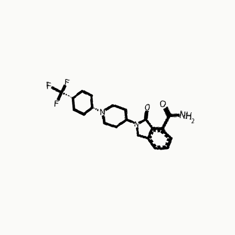 NC(=O)c1cccc2c1C(=O)N(C1CCN([C@H]3CC[C@@H](C(F)(F)F)CC3)CC1)C2